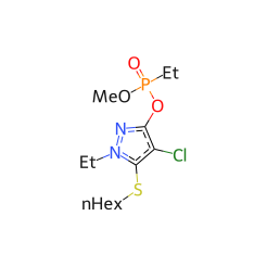 CCCCCCSc1c(Cl)c(OP(=O)(CC)OC)nn1CC